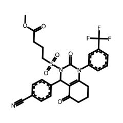 COC(=O)CCCS(=O)(=O)N1C(=O)N(c2cccc(C(F)(F)F)c2)C2=C(C(=O)CCC2)C1c1ccc(C#N)cc1